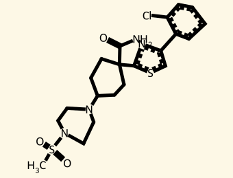 CS(=O)(=O)N1CCN(C2CCC(C(N)=O)(c3nc(-c4ccccc4Cl)cs3)CC2)CC1